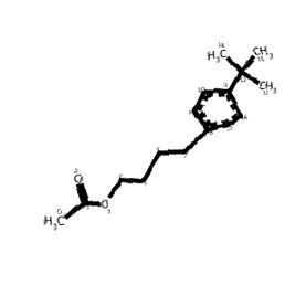 CC(=O)OCCCCc1ccc(C(C)(C)C)cc1